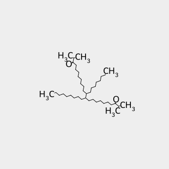 CCCCCCCCCC(CCCCCCCC(=O)C(C)C)C(CCCCCCCC)CCCCCCCCC(=O)C(C)C